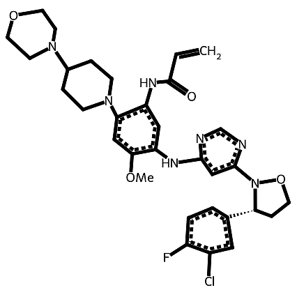 C=CC(=O)Nc1cc(Nc2cc(N3OCC[C@@H]3c3ccc(F)c(Cl)c3)ncn2)c(OC)cc1N1CCC(N2CCOCC2)CC1